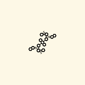 c1ccc2cc(-n3c4ccc(-c5c6ccccc6c(-c6ccc7c(c6)c6c8c(ccc6n7-c6ccc7ccccc7c6)sc6ccccc68)c6ccccc56)cc4c4c5c(ccc43)sc3ccccc35)ccc2c1